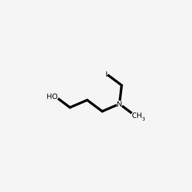 CN(CI)CCCO